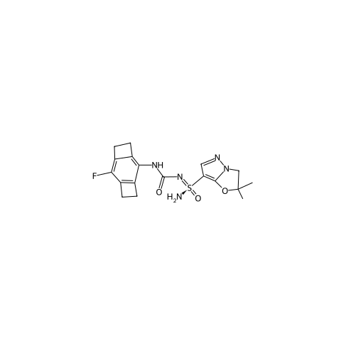 CC1(C)Cn2ncc([S@](N)(=O)=NC(=O)Nc3c4c(c(F)c5c3CC5)CC4)c2O1